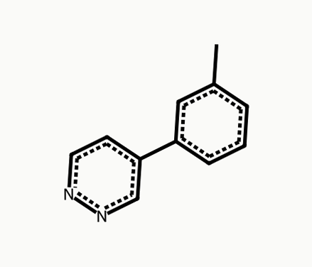 Cc1cccc(-c2ccnnc2)c1